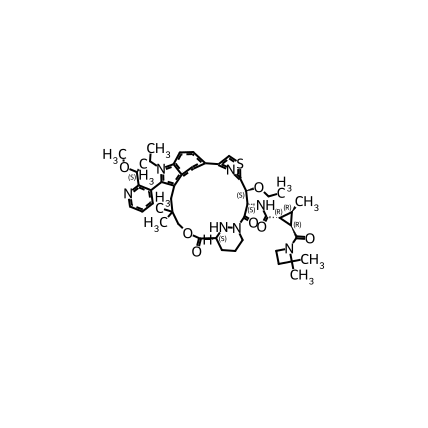 CCO[C@@H]1c2nc(cs2)-c2ccc3c(c2)c(c(-c2cccnc2[C@H](C)OC)n3CC)CC(C)(C)COC(=O)[C@@H]2CCCN(N2)C(=O)[C@H]1NC(=O)[C@@H]1[C@@H](C)[C@H]1C(=O)N1CCC1(C)C